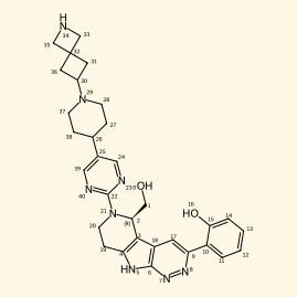 OC[C@H]1c2c([nH]c3nnc(-c4ccccc4O)cc23)CCN1c1ncc(C2CCN(C3CC4(CNC4)C3)CC2)cn1